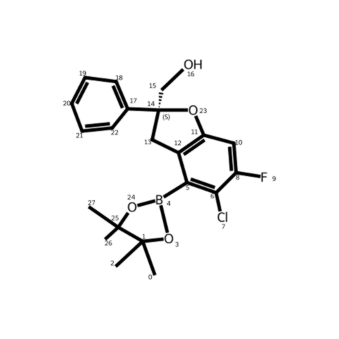 CC1(C)OB(c2c(Cl)c(F)cc3c2C[C@@](CO)(c2ccccc2)O3)OC1(C)C